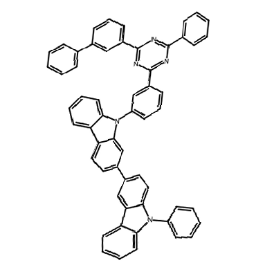 c1ccc(-c2cccc(-c3nc(-c4ccccc4)nc(-c4cccc(-n5c6ccccc6c6ccc(-c7ccc8c(c7)c7ccccc7n8-c7ccccc7)cc65)c4)n3)c2)cc1